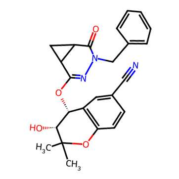 CC1(C)Oc2ccc(C#N)cc2[C@@H](OC2=NN(Cc3ccccc3)C(=O)C3CC23)[C@H]1O